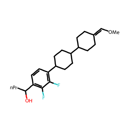 CCCC(O)c1ccc(C2CCC(C3CCC(=COC)CC3)CC2)c(F)c1F